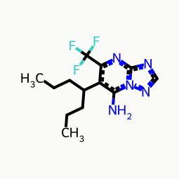 CCCC(CCC)c1c(C(F)(F)F)nc2ncnn2c1N